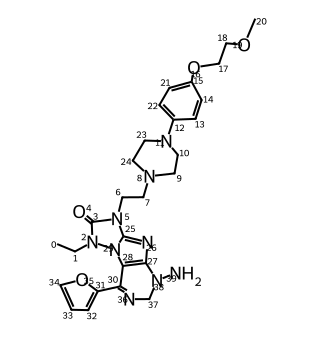 CCn1c(=O)n(CCN2CCN(c3ccc(OCCOC)cc3)CC2)c2nc3c(n21)C(c1ccco1)=NCN3N